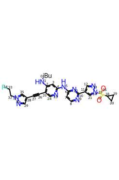 CCC(C)Nc1cc(Nc2ccnc(-c3cnn(S(=O)(=O)C4CC4)c3)n2)ncc1C#Cc1cnn(CCF)c1